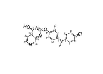 Cc1cc(N(C)c2ccc(Cl)cc2)ccc1Oc1nc(O)c2ccncc2n1